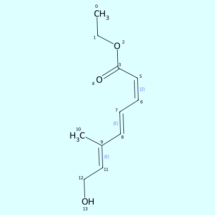 CCOC(=O)\C=C/C=C/C(C)=C/CO